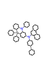 c1ccc(-c2ccc(N(c3ccc4c(c3)N(c3ccccc3)c3ccccc3[Si]4(c3ccccc3)c3ccccc3)c3cc4ccccc4c4ccccc34)cc2)cc1